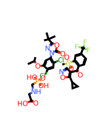 CC(C)Oc1cc(-n2nc(C(C)(C)C)oc2=O)c(Cl)cc1Cl.CS(=O)(=O)c1cc(C(F)(F)F)ccc1C(=O)c1cnoc1C1CC1.O=C(O)CNCP(=O)(O)O